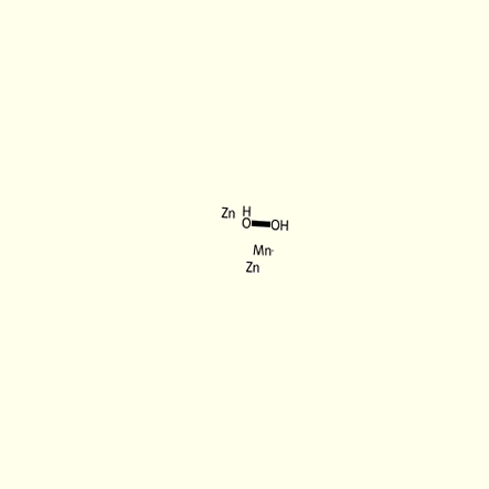 OO.[Mn].[Zn].[Zn]